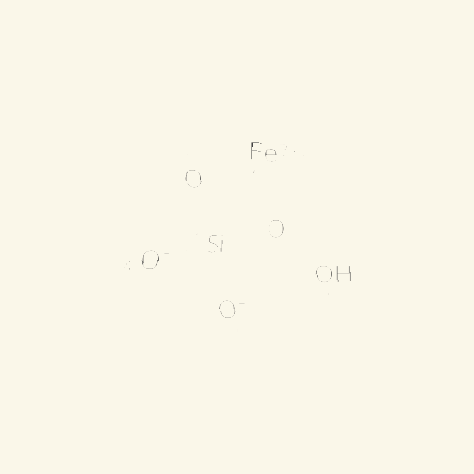 [Fe+3].[O-][Si]([O-])([O-])OO